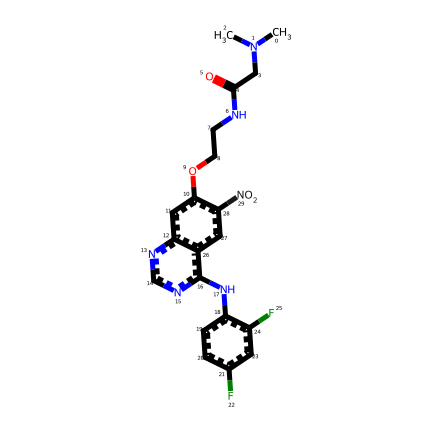 CN(C)CC(=O)NCCOc1cc2ncnc(Nc3ccc(F)cc3F)c2cc1[N+](=O)[O-]